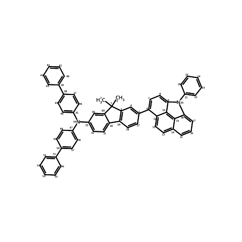 CC1(C)c2cc(-c3ccc4c5c3ccc3cccc(c35)n4-c3ccccc3)ccc2-c2ccc(N(c3ccc(-c4ccccc4)cc3)c3ccc(-c4ccccc4)cc3)cc21